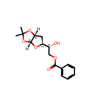 CC1(C)O[C@H]2O[C@H]([C@H](O)COC(=O)c3ccccc3)C[C@H]2O1